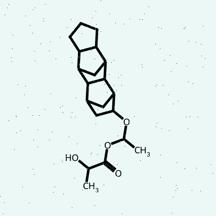 CC(OC(=O)C(C)O)OC1CC2CC1C1C3CC(C4CCCC43)C21